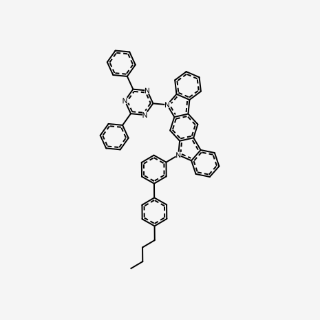 CCCCc1ccc(-c2cccc(-n3c4ccccc4c4cc5c6ccccc6n(-c6nc(-c7ccccc7)nc(-c7ccccc7)n6)c5cc43)c2)cc1